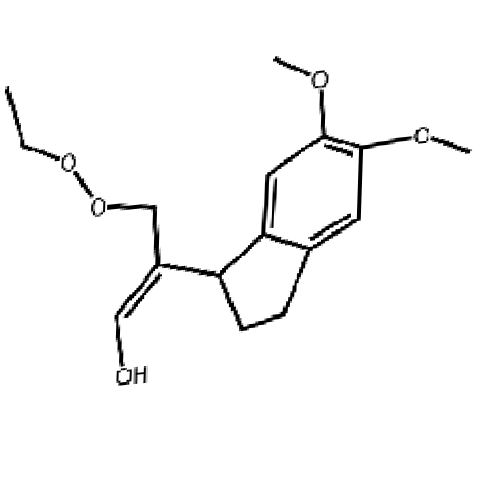 CCOOC/C(=C/O)C1CCc2cc(OC)c(OC)cc21